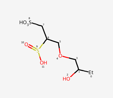 CCC(O)COCC(CS(=O)(=O)O)S(=O)O